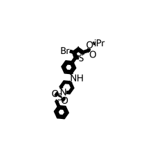 CC(C)OC(=O)c1[c]c(Br)c(-c2cccc(NC3CCN(S(=O)(=O)Cc4ccccc4)CC3)c2)s1